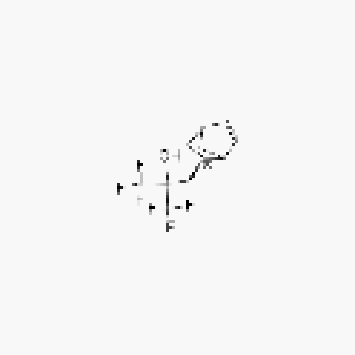 OC(C[C@H]1CC2C=CC1C2)(C(F)(F)F)C(F)(F)F